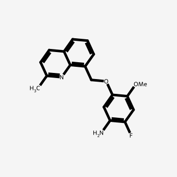 COc1cc(F)c(N)cc1OCc1cccc2ccc(C)nc12